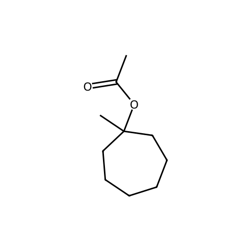 CC(=O)OC1(C)CCCCCC1